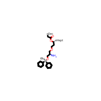 CCCCCCCCCCCC(=O)O[C@H](CCCCCCC)CCOC[C@@H](N)CO[Si](c1ccccc1)(c1ccccc1)C(C)(C)C